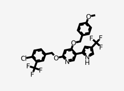 COc1ccc(COc2cc(OCc3ccc(Cl)c(C(F)(F)F)c3)ncc2-c2cc(C(F)(F)F)c[nH]2)cc1